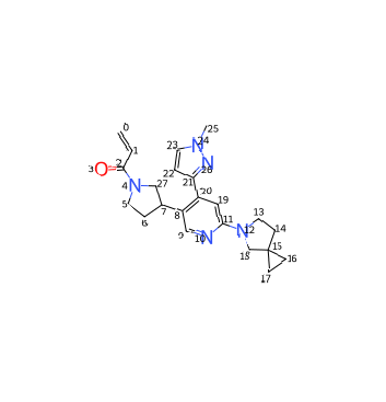 C=CC(=O)N1CCC(c2cnc(N3CCC4(CC4)C3)cc2-c2ccn(C)n2)C1